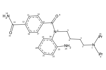 CC(C)N(CCCCN(C(=O)c1ccc(C(N)=O)cc1)c1ccccc1N)C(C)C